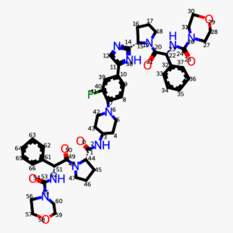 O=C(NC1CCN(c2ccc(-c3cnc([C@@H]4CCCN4C(=O)[C@H](NC(=O)N4CCOCC4)c4ccccc4)[nH]3)cc2F)CC1)[C@@H]1CCCN1C(=O)[C@H](NC(=O)N1CCOCC1)c1ccccc1